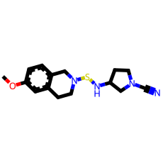 COc1ccc2c(c1)CCN(SNC1CCN(C#N)C1)C2